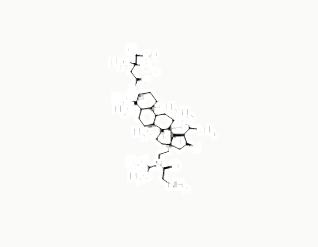 CC(C)C1=C2[C@H]3CCC4[C@@]5(C)CC[C@H](OC(=O)CC(C)(C)C(=O)O)C(C)(C)C5CC[C@@]4(C)[C@]3(C)CC[C@@]2(CCN(C(=O)CN)C(C)C)CC1=O